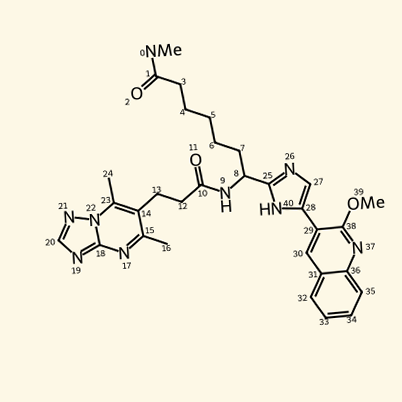 CNC(=O)CCCCCC(NC(=O)CCc1c(C)nc2ncnn2c1C)c1ncc(-c2cc3ccccc3nc2OC)[nH]1